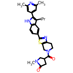 Cc1cc(-c2[nH]c3ccc(-c4nc5c(s4)CN(C(=O)C4CC(=O)N(C)C4)CC5)cc3c2C(C)C)cc(C)n1